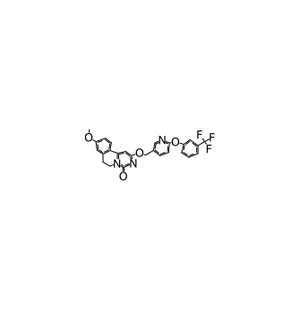 COc1ccc2c(c1)CCn1c-2cc(OCc2ccc(Oc3cccc(C(F)(F)F)c3)nc2)nc1=O